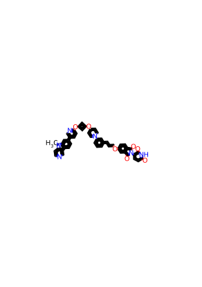 Cn1c2ccncc2c2ccc(-c3ccc(O[C@H]4C[C@H](OC5CCN(c6cccc(CCCOc7ccc8c(c7)C(=O)N(C7CCC(=O)NC7=O)C8=O)c6)CC5)C4)nc3)cc21